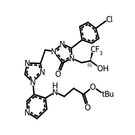 CC(C)(C)OC(=O)CCNc1ccncc1-n1cnc(Cn2nc(-c3ccc(Cl)cc3)n(C[C@H](O)C(F)(F)F)c2=O)n1